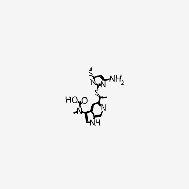 CSc1cc(N)nc(SC(C)c2cc3c(N(C)C(=O)O)c[nH]c3cn2)n1